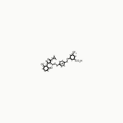 O=C(O)c1cc(OCC23CCC(COCc4c(-c5c(Cl)cncc5Cl)noc4C4CC4)(CC2)CC3)cc(C(F)(F)F)c1